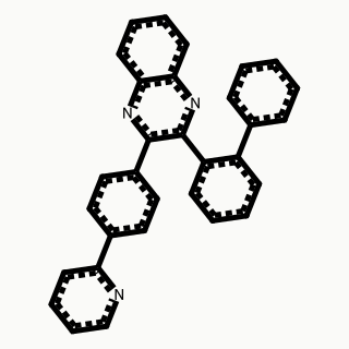 c1ccc(-c2ccccc2-c2nc3ccccc3nc2-c2ccc(-c3ccccn3)cc2)cc1